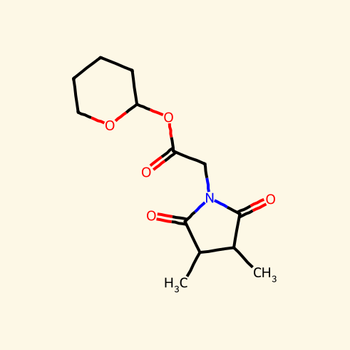 CC1C(=O)N(CC(=O)OC2CCCCO2)C(=O)C1C